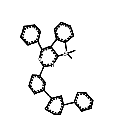 C[Si]1(C)c2ccccc2-c2c(-c3ccccc3)nc(-c3cccc(-c4cccc(-c5ccccc5)c4)c3)nc21